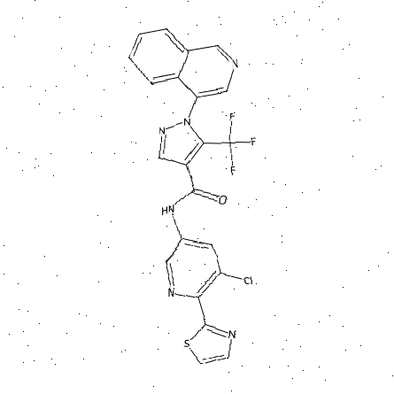 O=C(Nc1cnc(-c2nccs2)c(Cl)c1)c1cnn(-c2cncc3ccccc23)c1C(F)(F)F